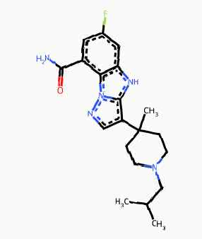 CC(C)CN1CCC(C)(c2cnn3c2[nH]c2cc(F)cc(C(N)=O)c23)CC1